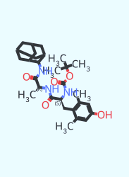 Cc1cc(O)cc(C)c1C[C@H](NC(=O)OC(C)(C)C)C(=O)N[C@H](C)C(=O)NC1C2CC3CC(C2)CC1C3